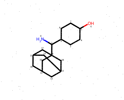 NC(C1CCC(O)CC1)C12CC3CC(CC(C3)C1)C2